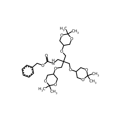 CC1(C)OCC(OCC(CNC(=O)OCc2ccccc2)(COC2COC(C)(C)OC2)COC2COC(C)(C)OC2)CO1